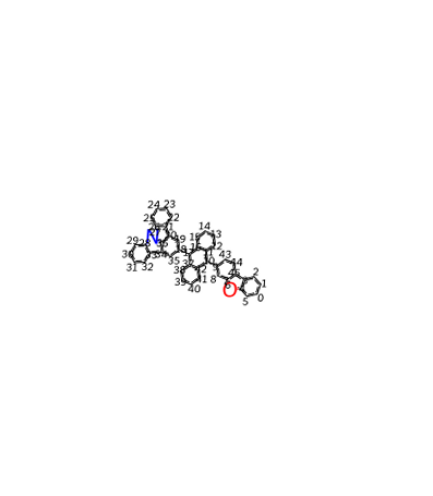 c1ccc2c(c1)oc1cc(-c3c4ccccc4c(-c4cc5c6ccccc6n6c7ccccc7c(c4)c56)c4ccccc34)ccc12